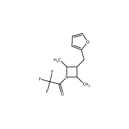 CC1C(Cc2ccco2)C(C)N1C(=O)C(F)(F)F